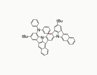 CC(C)(C)c1cc(N(c2ccccc2)c2ccccc2)c2c(c1)c1cc3ccccc3c3c4cc5c(cc4n2c13)c1cc(C(C)(C)C)cc2c3cc4ccccc4cc3n5c21